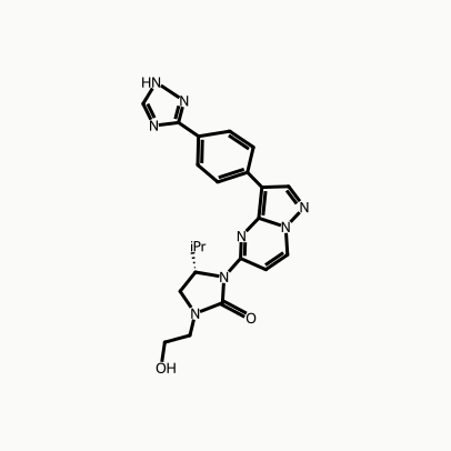 CC(C)[C@H]1CN(CCO)C(=O)N1c1ccn2ncc(-c3ccc(-c4nc[nH]n4)cc3)c2n1